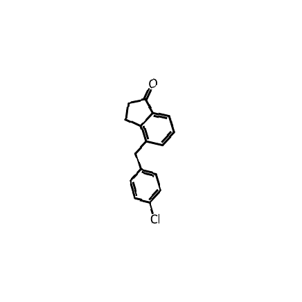 O=C1CCc2c(Cc3ccc(Cl)cc3)cccc21